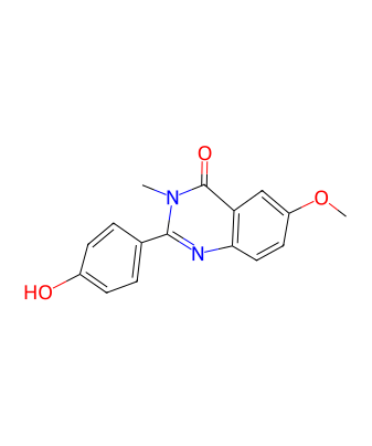 COc1ccc2nc(-c3ccc(O)cc3)n(C)c(=O)c2c1